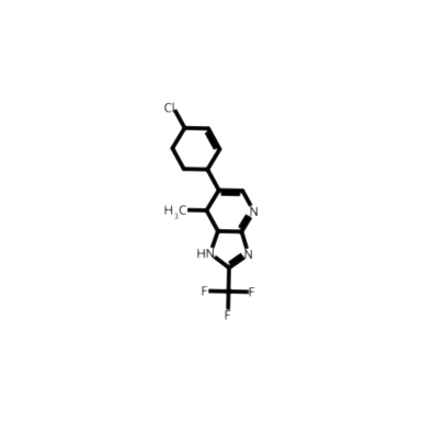 CC1C(C2C=CC(Cl)CC2)=CN=C2N=C(C(F)(F)F)NC21